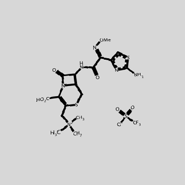 CON=C(C(=O)NC1C(=O)N2C(C(=O)O)=C(C[N+](C)(C)C)SCC12)c1csc(N)n1.O=S(=O)([O-])C(F)(F)F